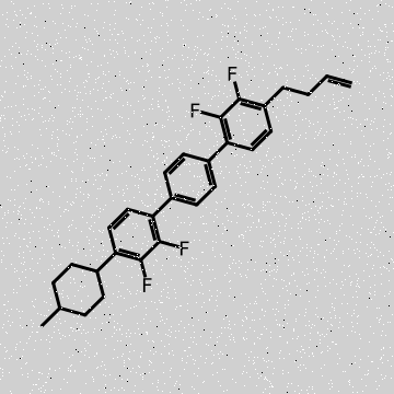 C=CCCc1ccc(-c2ccc(-c3ccc(C4CCC(C)CC4)c(F)c3F)cc2)c(F)c1F